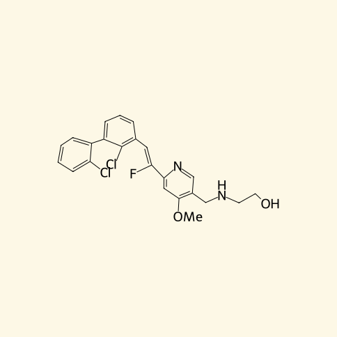 COc1cc(C(F)=Cc2cccc(-c3ccccc3Cl)c2Cl)ncc1CNCCO